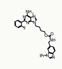 CC(C)n1cnc2ccc(CNC(=O)OCCCCn3cnc4c(N)nc(-c5ccccc5F)nc43)cc21